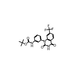 CC(C)(C)OC(=O)Nc1cccc(-n2c(=O)[nH]c(=O)c3ccc(C(F)(F)F)cc32)c1